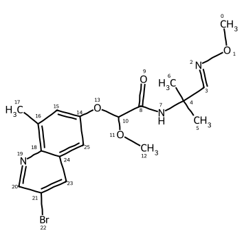 CON=CC(C)(C)NC(=O)C(OC)Oc1cc(C)c2ncc(Br)cc2c1